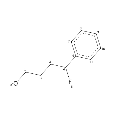 [O]CCCC(F)c1ccccc1